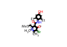 CCc1cc(O)cc(CC)c1NC(=O)c1c(CSC)n(C)c(C)c(Br)c1=O